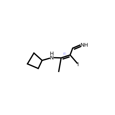 C/C(NC1CCC1)=C(\I)C=N